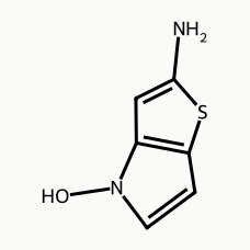 Nc1cc2c(ccn2O)s1